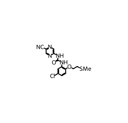 CSCCOc1ccc(Cl)cc1NC(=O)Nc1cnc(C#N)cn1